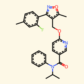 Cc1ccc(-c2noc(C)c2COc2ccc(C(=O)N(c3ccccc3)C(C)C)cn2)c(F)c1